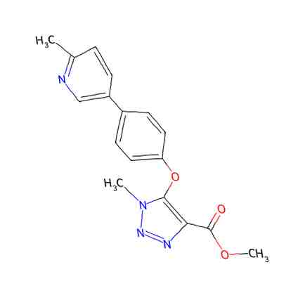 COC(=O)c1nnn(C)c1Oc1ccc(-c2ccc(C)nc2)cc1